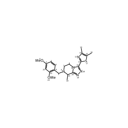 COc1ccc(CN2CCn3c(-c4nc(C)c(C)s4)nnc3C2C)c(OC)c1